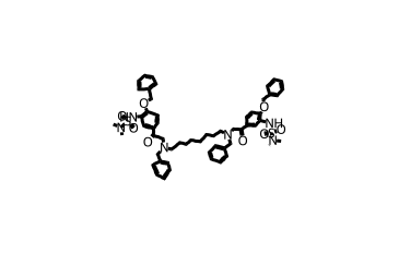 CN(C)S(=O)(=O)Nc1cc(C(=O)CN(CCCCCCCCN(CC(=O)c2ccc(OCc3ccccc3)c(NS(=O)(=O)N(C)C)c2)Cc2ccccc2)Cc2ccccc2)ccc1OCc1ccccc1